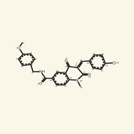 COc1ccc(CNC(=O)c2ccc3c(c2)C(=O)/C(=C/c2ccc(Cl)cc2)C(=O)N3C)cc1